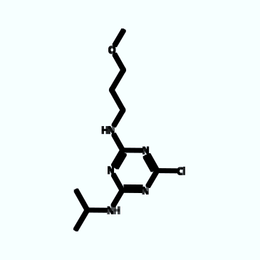 COCCCNc1nc(Cl)nc(NC(C)C)n1